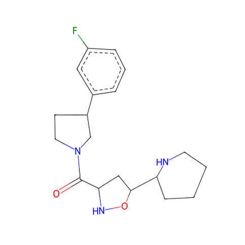 O=C(C1CC(C2CCCCN2)ON1)N1CCC(c2cccc(F)c2)C1